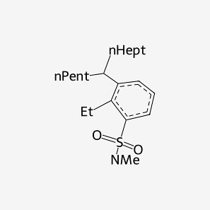 CCCCCCCC(CCCCC)c1cccc(S(=O)(=O)NC)c1CC